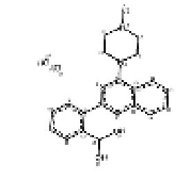 CCN1CCN(c2nc(-c3ccccc3C(O)O)cc3ccccc23)CC1.Cl.Cl